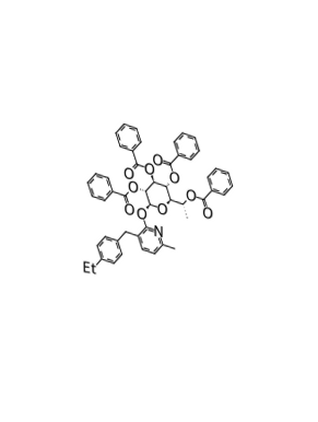 CCc1ccc(Cc2ccc(C)nc2O[C@@H]2O[C@H]([C@@H](C)OC(=O)c3ccccc3)[C@@H](OC(=O)c3ccccc3)[C@H](OC(=O)c3ccccc3)[C@H]2OC(=O)c2ccccc2)cc1